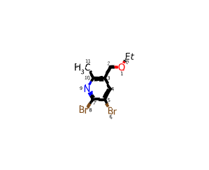 CCOCc1cc(Br)c(Br)nc1C